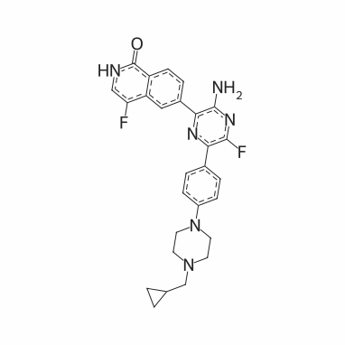 Nc1nc(F)c(-c2ccc(N3CCN(CC4CC4)CC3)cc2)nc1-c1ccc2c(=O)[nH]cc(F)c2c1